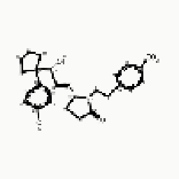 O=C(O)c1ccc(CCN2C(=O)CC[C@@H]2/C=C/[C@@H](O)C2(c3ccc(Cl)cc3)CCCC2)cc1